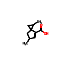 CC1C=C(C(=O)O)C2(C1)CC2C